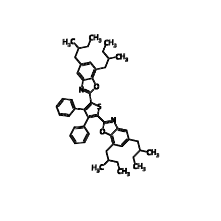 CCC(C)Cc1cc(CC(C)CC)c2oc(-c3sc(-c4nc5cc(CC(C)CC)cc(CC(C)CC)c5o4)c(-c4ccccc4)c3-c3ccccc3)nc2c1